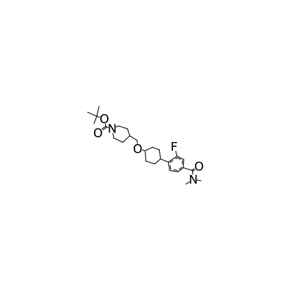 CN(C)C(=O)c1ccc(C2CCC(OCC3CCN(C(=O)OC(C)(C)C)CC3)CC2)c(F)c1